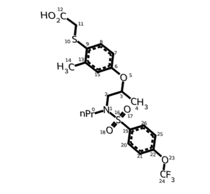 CCCN(CC(C)Oc1ccc(SCC(=O)O)c(C)c1)S(=O)(=O)c1ccc(OC(F)(F)F)cc1